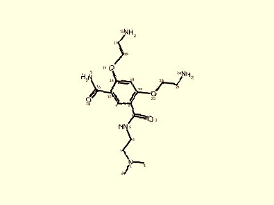 CN(C)CCNC(=O)c1cc(C(N)=O)c(OCCN)cc1OCCN